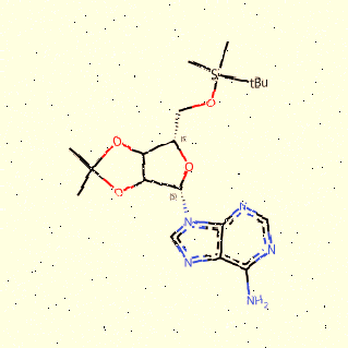 CC1(C)OC2C(O1)[C@@H](n1cnc3c(N)ncnc31)O[C@H]2CO[Si](C)(C)C(C)(C)C